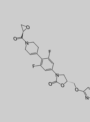 O=C([C@H]1CO1)N1CC=C(c2c(F)cc(N3C[C@H](COc4ccon4)OC3=O)cc2F)CC1